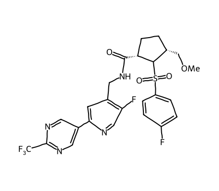 COC[C@H]1CC[C@@H](C(=O)NCc2cc(-c3cnc(C(F)(F)F)nc3)ncc2F)C1S(=O)(=O)c1ccc(F)cc1